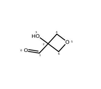 O=CC1(O)COC1